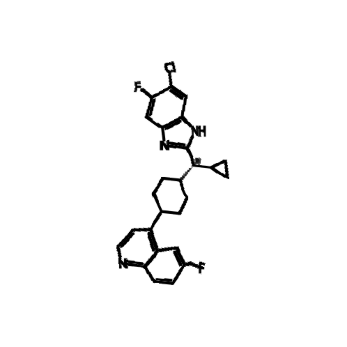 Fc1ccc2nccc(C3CCC([C@H](c4nc5cc(F)c(Cl)cc5[nH]4)C4CC4)CC3)c2c1